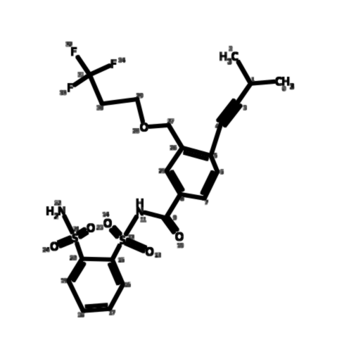 CC(C)C#Cc1ccc(C(=O)NS(=O)(=O)c2ccccc2S(N)(=O)=O)cc1COCCC(F)(F)F